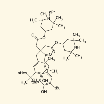 CCCCCCC(C)(C)c1cc(CC(CC(=O)OC2CC(C)(C)NC(C)(C)C2)(CC(=O)OC2CC(C)(C)N(CCC)C(C)(C)C2)C(=O)CCc2cc(C(C)(C)C)c(O)c(C(C)(C)C)c2)c(C)c(C)c1O